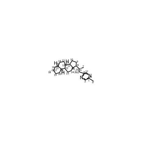 Cc1cnc(C[C@H](C)C2CCC3[C@@H]4CC[C@@H]5C[C@@H](C)CC[C@@H]5C4CC[C@@]32C)cn1